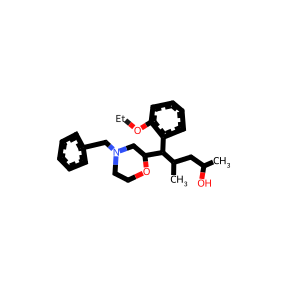 CCOc1ccccc1C(C(C)CC(C)O)C1CN(Cc2ccccc2)CCO1